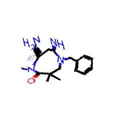 CN1C(=O)C(C)(C)CN(Cc2ccccc2)C(=N)/C1=C\N